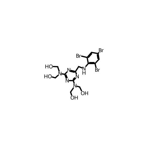 OCN(CO)c1nc(CNc2c(Br)cc(Br)cc2Br)nc(N(CO)CO)n1